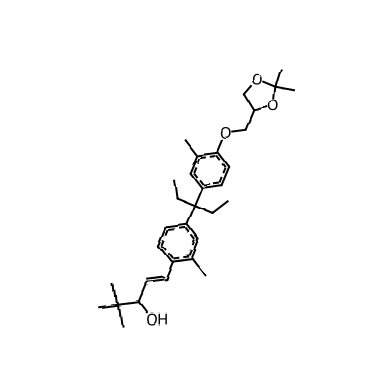 CCC(CC)(c1ccc(C=CC(O)C(C)(C)C)c(C)c1)c1ccc(OCC2COC(C)(C)O2)c(C)c1